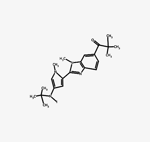 Cn1cc(N(I)C(C)(C)C)cc1-c1nc2ccc(C(=O)C(C)(C)C)cc2n1C